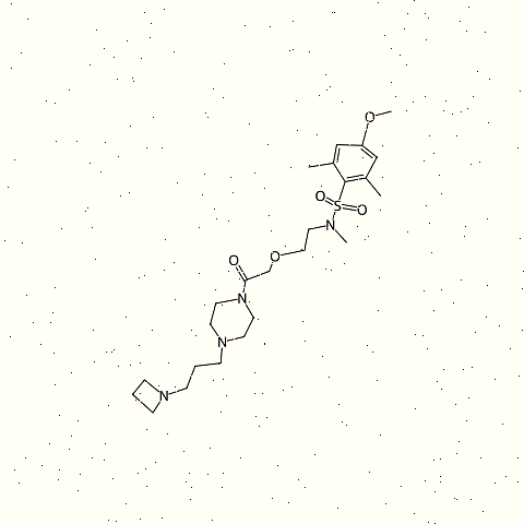 COc1cc(C)c(S(=O)(=O)N(C)CCOCC(=O)N2CCN(CCCN3CCC3)CC2)c(C)c1